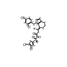 O=C(C/C(F)=C1\CCCc2cnn(Cc3ccc(Cl)cc3Cl)c21)NS(=O)(=O)c1cc(Cl)c(Cl)s1